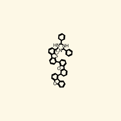 NC(NC(NCc1cccc2c1sc1c(-c3cccc4c5c(oc34)C(c3cccc4oc6ccccc6c34)CC=C5)cccc12)C1C=CC=CC1)c1ccccc1